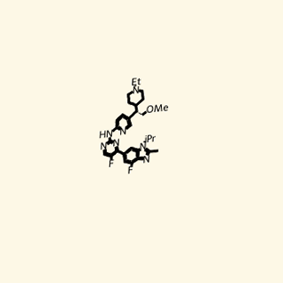 CCN1CCC([C@H](COC)c2ccc(Nc3ncc(F)c(-c4cc(F)c5nc(C)n(C(C)C)c5c4)n3)nc2)CC1